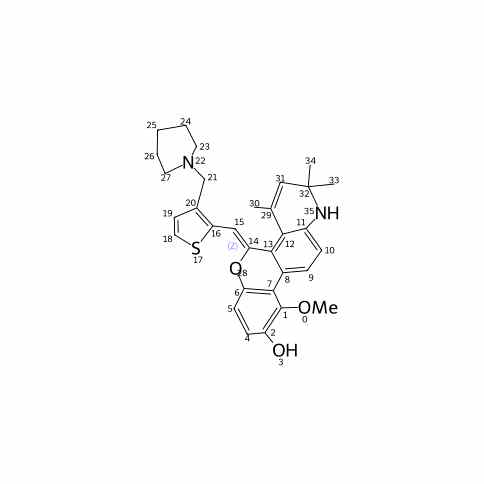 COc1c(O)ccc2c1-c1ccc3c(c1/C(=C/c1sccc1CN1CCCCC1)O2)C(C)=CC(C)(C)N3